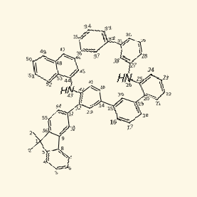 CC1(C)c2ccccc2-c2cc(-c3cc(-c4cccc(-c5ccccc5Nc5cccc(-c6ccccc6)c5)c4)ccc3Nc3cccc4ccccc34)ccc21